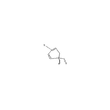 C=CC1(F)C=CC(F)=CC1